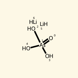 O=[As](O)(O)O.[LiH].[LiH]